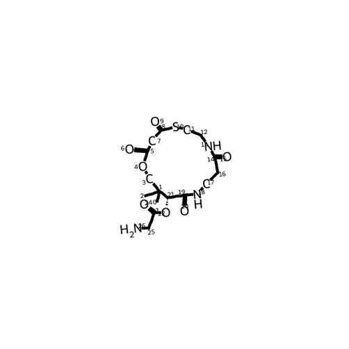 CC1(C)COC(=O)CC(=O)SCCNC(=O)CCNC(=O)[C@@H]1OC(=O)CN